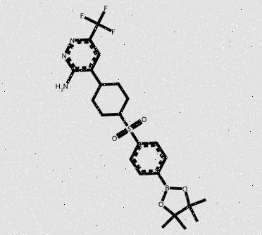 CC1(C)OB(c2ccc(S(=O)(=O)C3CCC(c4cc(C(F)(F)F)nnc4N)CC3)cc2)OC1(C)C